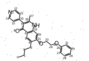 CCCCc1cc2c(=O)c(-c3ccncc3)c(C)[nH]c2cc1OCCOc1ccccc1